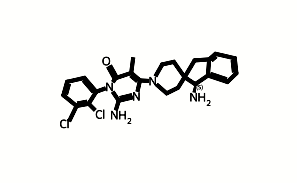 Cc1c(N2CCC3(CC2)Cc2ccccc2[C@H]3N)nc(N)n(-c2cccc(Cl)c2Cl)c1=O